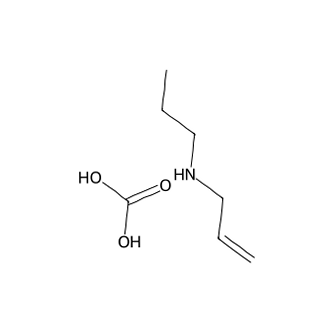 C=CCNCCC.O=C(O)O